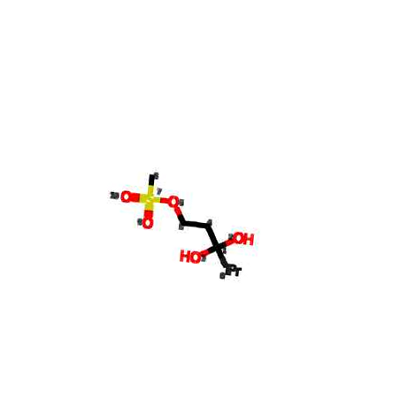 CC(C)C(O)(O)CCOS(C)(=O)=O